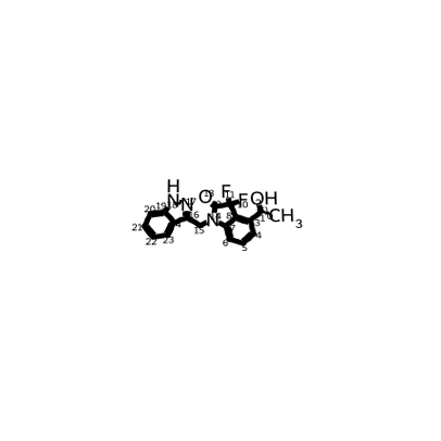 C[C@H](O)c1cccc2c1C(F)(F)C(=O)N2Cc1n[nH]c2ccccc12